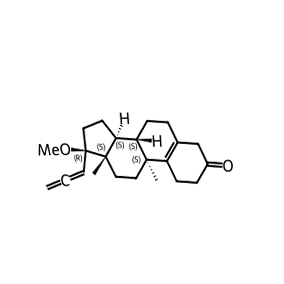 C=C=C[C@]1(OC)CC[C@H]2[C@@H]3CCC4=C(CCC(=O)C4)[C@@]3(C)CC[C@@]21C